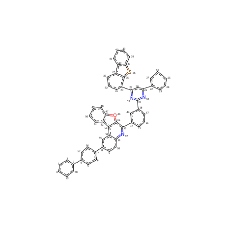 c1ccc(-c2ccc(-c3ccc4nc(-c5cccc(-c6nc(-c7ccccc7)cc(-c7cccc8c7sc7ccccc78)n6)c5)c5oc6ccccc6c5c4c3)cc2)cc1